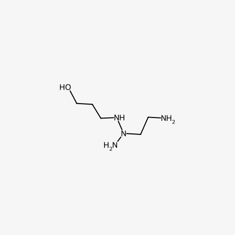 NCCN(N)NCCCO